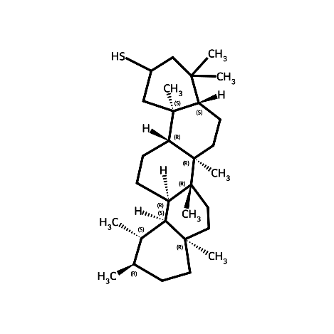 C[C@@H]1[C@H]2[C@H]3CC[C@@H]4[C@@]5(C)CC(S)CC(C)(C)[C@@H]5CC[C@@]4(C)[C@]3(C)CC[C@@]2(C)CC[C@H]1C